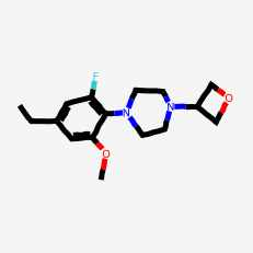 CCc1cc(F)c(N2CCN(C3COC3)CC2)c(OC)c1